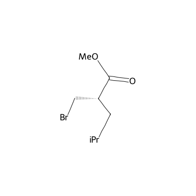 COC(=O)[C@@H](CBr)CC(C)C